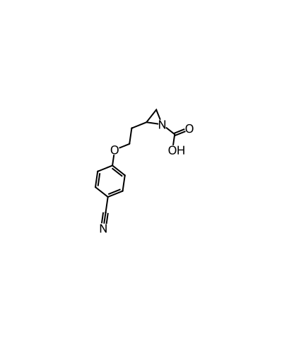 N#Cc1ccc(OCCC2CN2C(=O)O)cc1